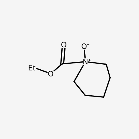 CCOC(=O)[N+]1([O-])CCCCC1